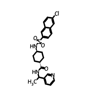 CC(NC(=O)[C@H]1CC[C@H](NS(=O)(=O)c2ccc3cc(Cl)ccc3c2)CC1)c1cccnc1